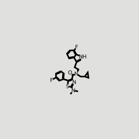 CN(C)c1nc(C(=O)N(CCc2c[nH]c3c(F)cccc23)CC2CC2)c(-c2cccc(F)c2)s1